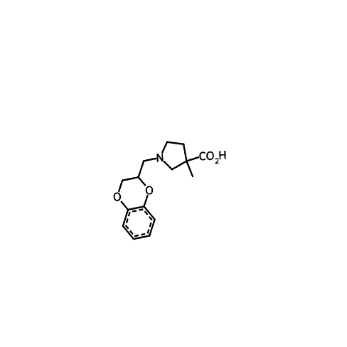 CC1(C(=O)O)CCN(CC2COc3ccccc3O2)C1